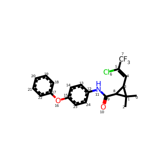 CC1(C)C(C=C(Cl)C(F)(F)F)C1C(=O)Nc1ccc(Oc2ccccc2)cc1